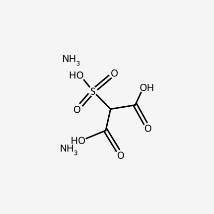 N.N.O=C(O)C(C(=O)O)S(=O)(=O)O